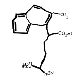 CCCCC(CCC(C(=O)OCC)c1c(C)ccc2ccccc12)OC